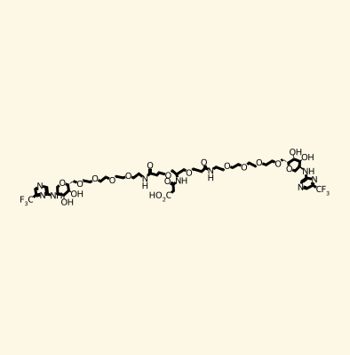 O=C(O)CC(=O)NC(COCCC(=O)NCCOCCOCCOCCOC[C@H]1OC[C@H](Nc2cncc(C(F)(F)F)n2)[C@@H](O)[C@H]1O)COCCC(=O)NCCOCCOCCOCCOC[C@H]1OC[C@H](Nc2cncc(C(F)(F)F)n2)[C@@H](O)[C@H]1O